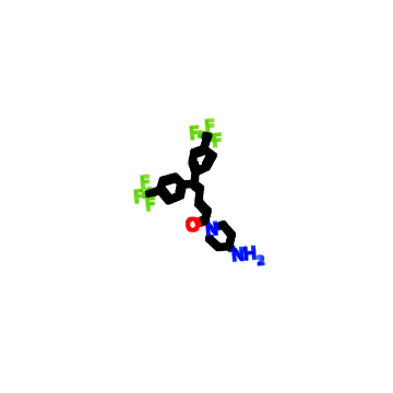 NC1CCN(C(=O)C=CC=C(c2ccc(C(F)(F)F)cc2)c2ccc(C(F)(F)F)cc2)CC1